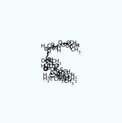 CCC(CO)OC(COC(=O)NCCC(=O)N[C@@H](C)C(=O)OCCCNC(=O)[C@H](Cc1ccccc1)NC(=O)[C@H](C)[C@@H](OC)[C@@H]1CCCN1C(=O)C[C@@H](OC)[C@H](C(C)CC)N(C)C(=O)[C@@H](NC(=O)[C@@H](NC)C(C)C)C(C)C)OC